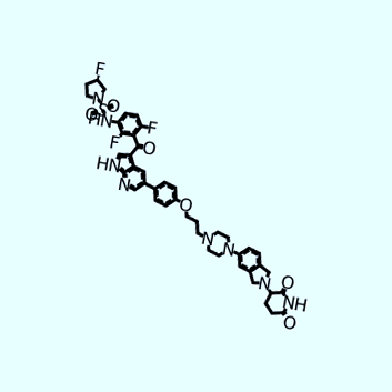 O=C1CCC(N2Cc3ccc(N4CCN(CCCOc5ccc(-c6cnc7[nH]cc(C(=O)c8c(F)ccc(NS(=O)(=O)N9CC[C@@H](F)C9)c8F)c7c6)cc5)CC4)cc3C2)C(=O)N1